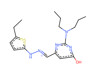 CCCN(CCC)c1nc(O)cc(/C=N/Nc2ccc(CC)s2)n1